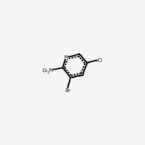 O=[N+]([O-])c1ncc(Cl)cc1Br